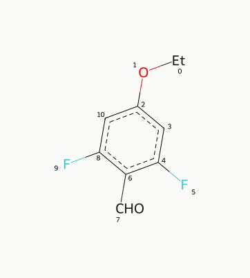 CCOc1cc(F)c(C=O)c(F)c1